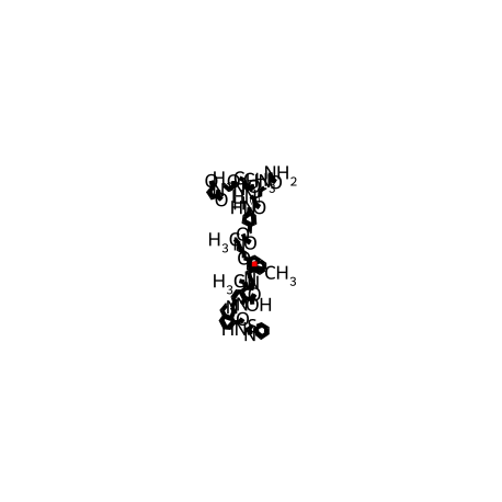 Cc1c(-c2ccc(N3CCc4cccc(C(=O)Nc5nc6ccccc6s5)c4C3)nc2C(=O)O)cnn1CC12CC3CC(C)(C1)CC(OCCN(C)C(=O)OCc1ccc(NC(=O)[C@H](CCCNC(N)=O)NC(=O)[C@@H](NC(=O)CCN4C(=O)C=CC4=O)C(C)C)cc1)(C3)C2